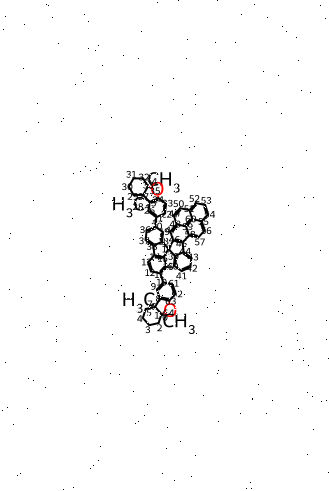 CC12CCCCC1(C)c1cc(-c3ccc4c(c3)C3(c5cc(-c6ccc7c(c6)C6(C)CCCCC6(C)O7)ccc5-4)c4ccccc4-c4c3cc3ccc5cccc6ccc4c3c56)ccc1O2